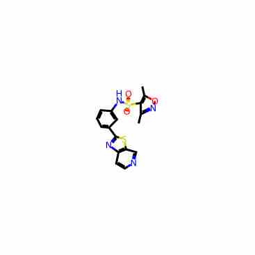 Cc1noc(C)c1S(=O)(=O)Nc1cccc(-c2nc3ccncc3s2)c1